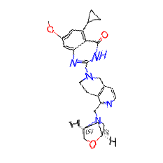 COc1cc(C2CC2)c2c(=O)[nH]c(N3CCc4c(ccnc4CN4C[C@@H]5C[C@H]4CO5)C3)nc2c1